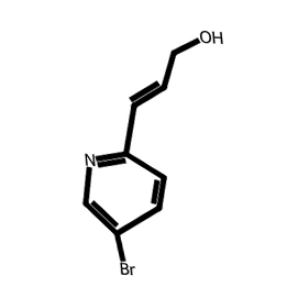 OC/C=C/c1ccc(Br)cn1